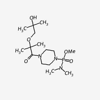 COP(=O)(N(C)C)N1CCN(C(=O)C(C)(C)OCC(C)(C)O)CC1